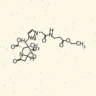 CCOC(=O)CCNC(=O)C[n+]1ccn(C[C@]2(C)[C@@H](C(=O)O)N3C(=O)C[C@H]3S2(=O)=O)n1